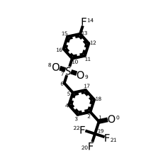 O=C(c1ccc(CS(=O)(=O)c2ccc(F)cc2)cc1)C(F)(F)F